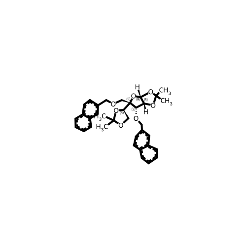 CC1(C)O[C@H]2O[C@@](COCc3ccc4ccccc4c3)([C@H]3COC(C)(C)O3)[C@@H](OCc3ccc4ccccc4c3)[C@H]2O1